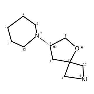 C1CCN([C@@H]2COC3(CNC3)C2)CC1